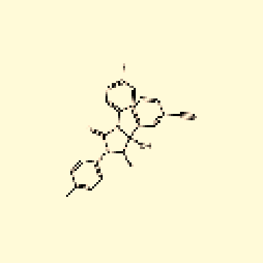 Cc1ccc(N2C(=O)N(c3ccc(C)cc3)C(O)(c3cccc(C#N)c3)[C@H]2C)cc1